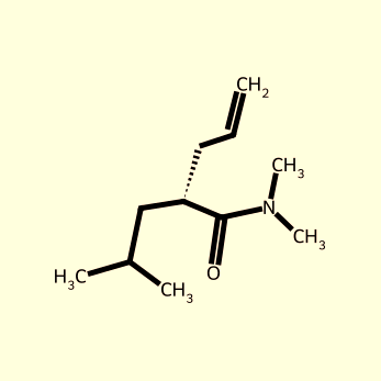 C=CC[C@@H](CC(C)C)C(=O)N(C)C